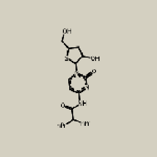 CCCC(CCC)C(=O)Nc1ccn(C2SC(CO)CC2O)c(=O)n1